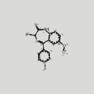 CC(C)C1N=C(c2ccc(F)cc2)c2cc(OC(F)(F)F)ccc2NC1=S